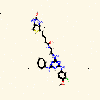 COc1ccc(Nc2nc(NCCNC(=O)CCCCC3SCC4NC(=O)NC43)nc(NC3CCCCCC3)n2)cc1Cl